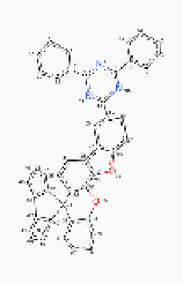 c1ccc(-c2nc(-c3ccccc3)nc(-c3ccc4oc5c6c(ccc5c4c3)C3(c4ccccc4O6)c4ccccc4-c4ccccc43)n2)cc1